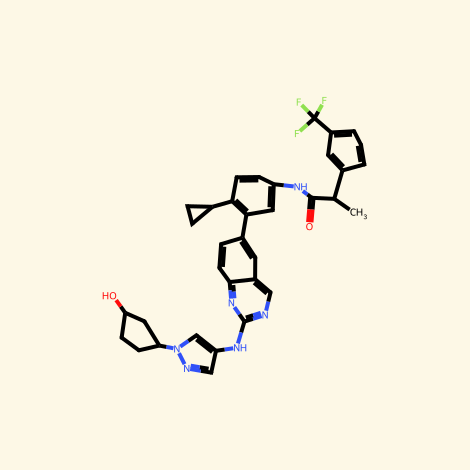 CC(C(=O)Nc1ccc(C2CC2)c(-c2ccc3nc(Nc4cnn(C5CCC(O)C5)c4)ncc3c2)c1)c1cccc(C(F)(F)F)c1